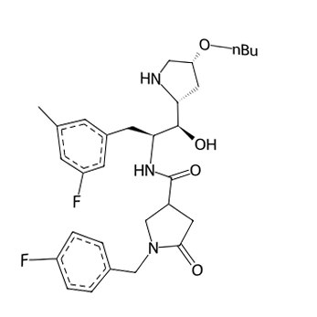 CCCCO[C@H]1CN[C@@H]([C@@H](O)[C@H](Cc2cc(C)cc(F)c2)NC(=O)C2CC(=O)N(Cc3ccc(F)cc3)C2)C1